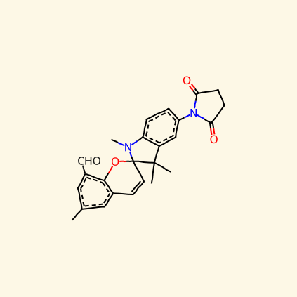 Cc1cc(C=O)c2c(c1)C=CC1(O2)N(C)c2ccc(N3C(=O)CCC3=O)cc2C1(C)C